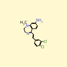 CN1CCN=C(C=Cc2ccc(Cl)c(Cl)c2)c2ccc(N)cc21